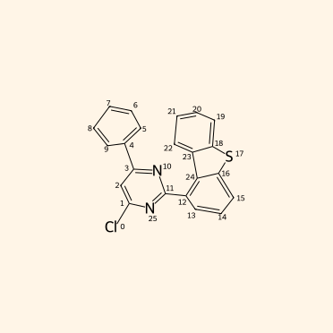 Clc1cc(-c2ccccc2)nc(-c2cccc3sc4ccccc4c23)n1